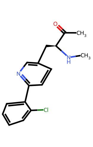 CN[C@@H](Cc1ccc(-c2ccccc2Cl)nc1)C(C)=O